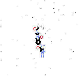 C=CC(=O)N1CC(N2Cc3ccc(NC(=O)c4cn[nH]c4)cc3C2=O)C1